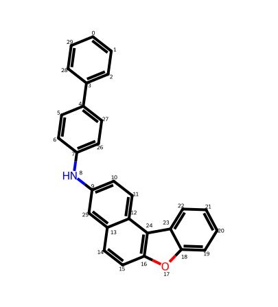 c1ccc(-c2ccc(Nc3ccc4c(ccc5oc6ccccc6c54)c3)cc2)cc1